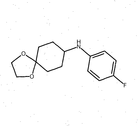 Fc1ccc(NC2CCC3(CC2)OCCO3)cc1